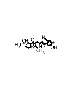 CCc1nc2c(c(=O)n1Cc1cc(-c3cc(O)c(F)cc3C#N)on1)CN(C(C)C)CC2